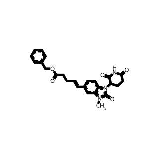 Cn1c(=O)n(C2CCC(=O)NC2=O)c2ccc(C=CCCC(=O)OCc3ccccc3)cc21